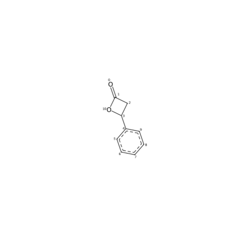 O=C1CC(c2ccccc2)O1